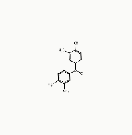 CC1=CCC([S+]([O-])c2ccc(C)c(C)c2)C=C1C